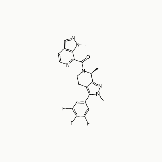 C[C@H]1c2nn(C)c(-c3cc(F)c(F)c(F)c3)c2CCN1C(=O)c1nccc2cnn(C)c12